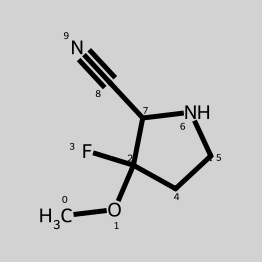 COC1(F)C[CH]NC1C#N